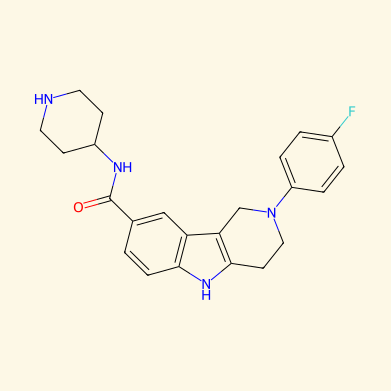 O=C(NC1CCNCC1)c1ccc2[nH]c3c(c2c1)CN(c1ccc(F)cc1)CC3